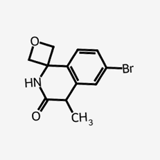 CC1C(=O)NC2(COC2)c2ccc(Br)cc21